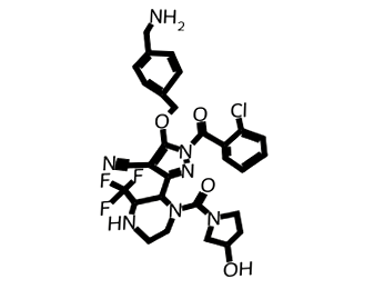 N#Cc1c(C2C(C(F)(F)F)NCCN2C(=O)N2CCC(O)C2)nn(C(=O)c2ccccc2Cl)c1OCc1ccc(CN)cc1